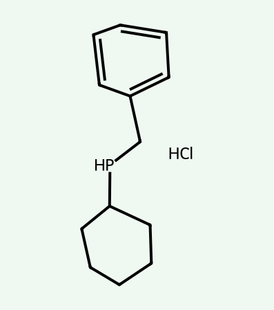 Cl.c1ccc(CPC2CCCCC2)cc1